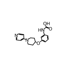 O=C(O)Nc1cccc(OC2CCN(c3ccncc3)CC2)c1